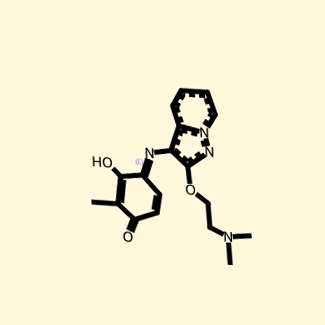 CC1=C(O)/C(=N/c2c(OCCN(C)C)nn3ccccc23)C=CC1=O